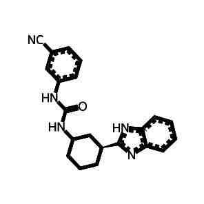 N#Cc1cccc(NC(=O)NC2CCC[C@H](c3nc4ccccc4[nH]3)C2)c1